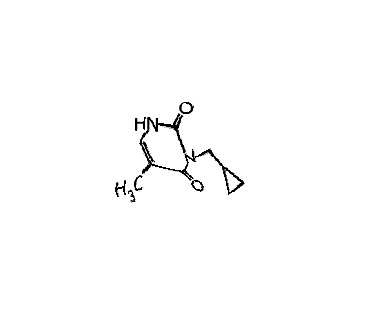 Cc1c[nH]c(=O)n(CC2CC2)c1=O